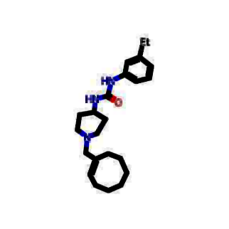 CCc1cccc(NC(=O)NC2CCN(CC3=CCCCCCC3)CC2)c1